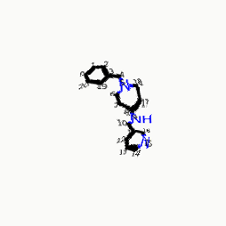 c1ccc(CN2CCC(NCc3cccnc3)CC2)cc1